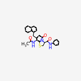 CC(=O)Nc1c(Cc2cccc3ccccc23)cc(=O)n2c1SCC2C(=O)Nc1ccccc1